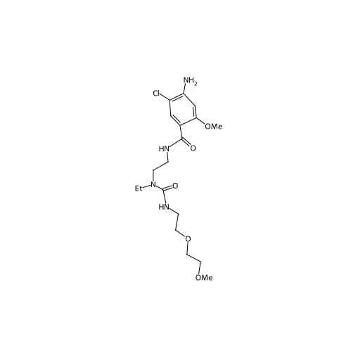 CCN(CCNC(=O)c1cc(Cl)c(N)cc1OC)C(=O)NCCOCCOC